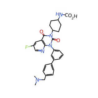 CN(C)Cc1ccc(-c2cccc(-n3c(=O)n(C4CCC(NC(=O)O)CC4)c(=O)c4cc(F)cnc43)c2)cc1